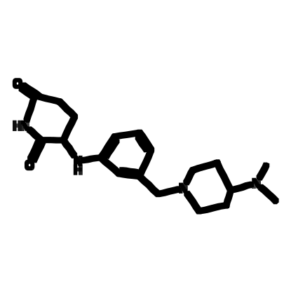 CN(C)C1CCN(Cc2cccc(NC3CCC(=O)NC3=O)c2)CC1